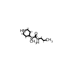 CCCNC(=O)N(C)C1CCNCC1